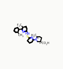 Cc1ccccc1-c1nc(NSc2cccc(N3C[C@H](C(=O)O)CC[C@@H]3C)n2)ccc1C(F)(F)F